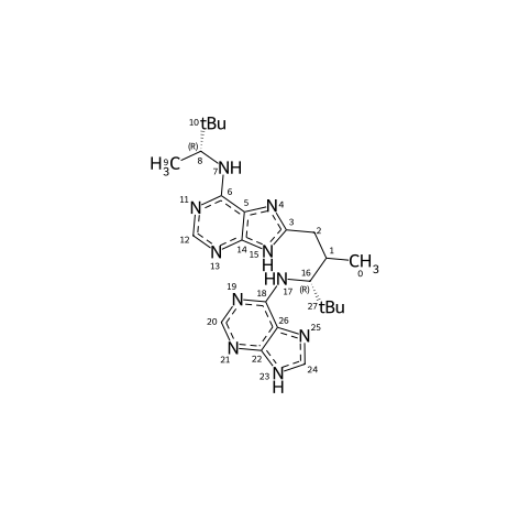 CC(Cc1nc2c(N[C@H](C)C(C)(C)C)ncnc2[nH]1)[C@@H](Nc1ncnc2[nH]cnc12)C(C)(C)C